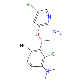 CC(Oc1cc(Br)cnc1N)c1c(C#N)ccc(N(C)C)c1Cl